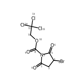 O=C1CC(Br)C(=O)N1C(=O)OCC(Cl)(Cl)Cl